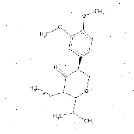 CCC1C(=O)[C@@H](c2ccc(OC)c(OC)c2)COC1C(C)C